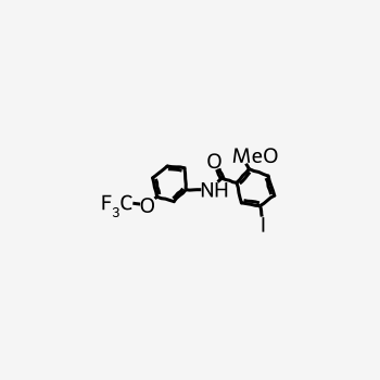 COc1ccc(I)cc1C(=O)Nc1cccc(OC(F)(F)F)c1